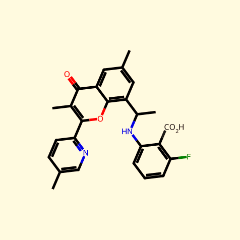 Cc1ccc(-c2oc3c(C(C)Nc4cccc(F)c4C(=O)O)cc(C)cc3c(=O)c2C)nc1